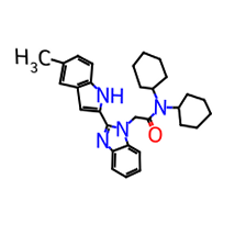 Cc1ccc2[nH]c(-c3nc4ccccc4n3CC(=O)N(C3CCCCC3)C3CCCCC3)cc2c1